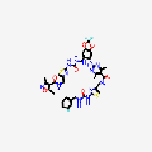 Cc1nc(N)nc(C)c1C(=O)N(C)Cc1csc(NC(=O)NCc2cccc(F)c2)n1.Cc1noc(C)c1C(=O)N(C)Cc1csc(NC(=O)NCc2ccc3c(c2)OC(F)(F)O3)n1